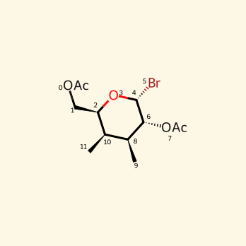 CC(=O)OC[C@H]1O[C@H](Br)[C@H](OC(C)=O)[C@@H](C)[C@H]1C